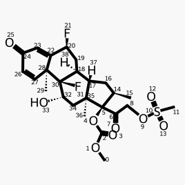 COC(=O)O[C@]1(C(=O)COS(C)(=O)=O)[C@H](C)C[C@H]2[C@@H]3C[C@H](F)C4=CC(=O)C=C[C@]4(C)[C@@]3(F)[C@@H](O)C[C@@]21C